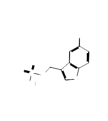 CS(=O)(=O)OCc1coc2ccc(C(F)(F)F)cc12